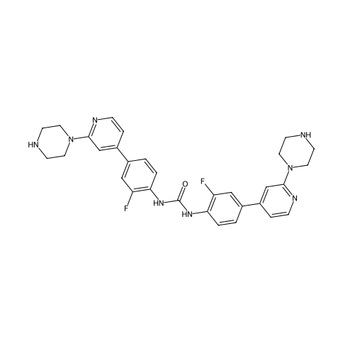 O=C(Nc1ccc(-c2ccnc(N3CCNCC3)c2)cc1F)Nc1ccc(-c2ccnc(N3CCNCC3)c2)cc1F